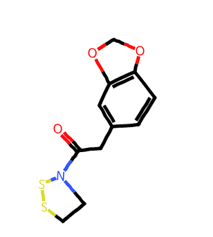 O=C(Cc1ccc2c(c1)OCO2)N1CCSS1